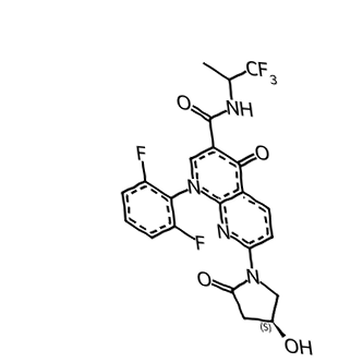 CC(NC(=O)c1cn(-c2c(F)cccc2F)c2nc(N3C[C@@H](O)CC3=O)ccc2c1=O)C(F)(F)F